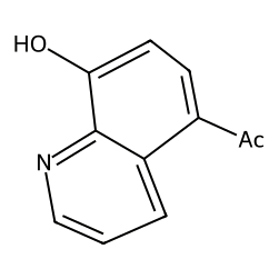 CC(=O)c1ccc(O)c2ncccc12